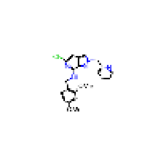 COc1ccc(CNc2nc(Cl)cc3cn(Cc4ccccn4)nc23)c(OC)c1